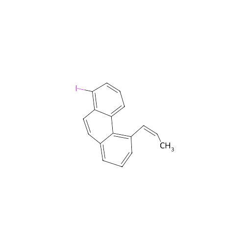 C/C=C\c1cccc2ccc3c(I)cccc3c12